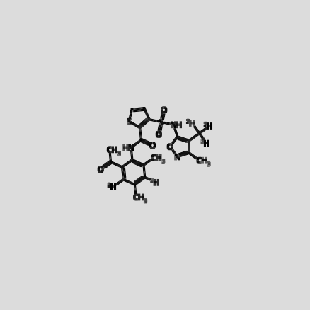 [2H]c1c(C)c([2H])c(C(C)=O)c(NC(=O)c2sccc2S(=O)(=O)Nc2onc(C)c2C([2H])([2H])[2H])c1C